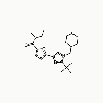 CCN(C)C(=O)c1ccc(-c2cn(CC3CCOCC3)c(C(C)(C)C)n2)o1